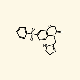 O=C1COc2cc(S(=O)(=O)c3ccccc3)ccc2N1CC1=NCCN1